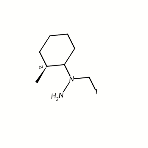 C[C@H]1CCCCC1N(N)CI